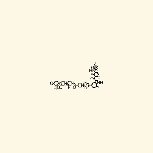 C=C1C=CC(c2cnc(N3CCC(C(=O)CN4CCC(N5CCN(C6CCC(=O)NC6=O)C(=O)C5)C(F)(F)C4)CC3)nc2)=Cc2c(C(=O)c3c(F)ccc(NS(=O)(=O)N(C)CC)c3F)c[nH]c21